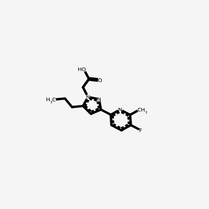 CCCc1cc(-c2ccc(F)c(C)n2)nn1CC(=O)O